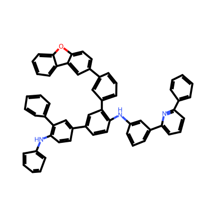 c1ccc(Nc2ccc(-c3ccc(Nc4cccc(-c5cccc(-c6ccccc6)n5)c4)c(-c4cccc(-c5ccc6oc7ccccc7c6c5)c4)c3)cc2-c2ccccc2)cc1